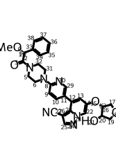 CO[C@@H](C(=O)N1CCN(c2ccc(-c3cc(O[C@H]4COCC4O)cn4ncc(C#N)c34)cn2)CC1)c1ccccc1